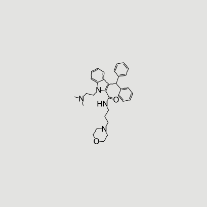 CN(C)CCn1c(C(=O)NCCCN2CCOCC2)c(C(c2ccccc2)c2ccccc2)c2ccccc21